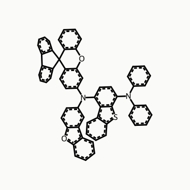 c1ccc(N(c2ccccc2)c2ccc(N(c3ccc4c(c3)Oc3ccccc3C43c4ccccc4-c4ccccc43)c3ccc4oc5ccccc5c4c3)c3c2sc2ccccc23)cc1